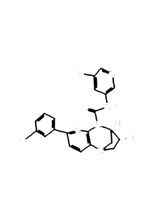 O=C(Nc1cncc(F)c1)N1c2nc(-c3cccc(Cl)c3)ccc2N2C[C@@H](O)[C@H]1C2